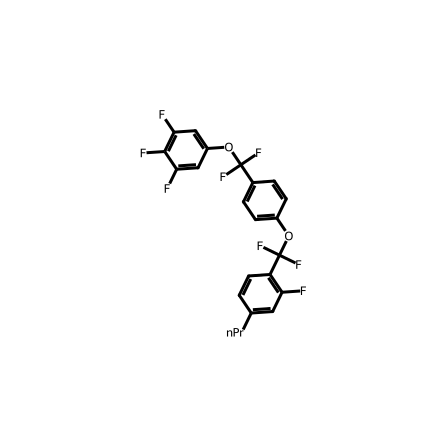 CCCc1ccc(C(F)(F)Oc2ccc(C(F)(F)Oc3cc(F)c(F)c(F)c3)cc2)c(F)c1